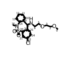 COCCOCCNC1c2ccccc2N(C)S(=O)(=O)c2cc(Cl)ccc21